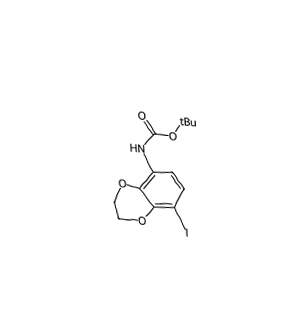 CC(C)(C)OC(=O)Nc1ccc(I)c2c1OCCO2